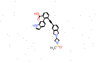 C[S+]([O-])N1CC(N2Cc3ccc(C#Cc4cccc(C(=O)O)c4-c4ccc5cc[nH]c5c4)cc3C2)C1